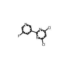 Fc1cncc(-c2nc(Cl)cc(Cl)n2)c1